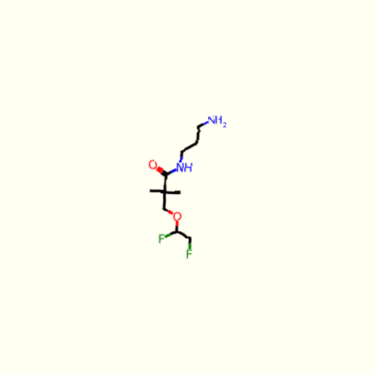 CC(C)(COC(F)CF)C(=O)NCCCN